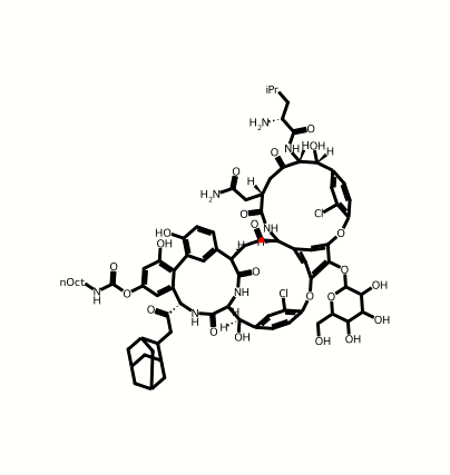 CCCCCCCCNC(=O)Oc1cc(O)c2c(c1)[C@@H](C(=O)CC1C3CC4CC(C3)CC1C4)NC(=O)[C@H]1NC(=O)[C@H](CC(=O)[C@@H]3NC(=O)[C@H](CC(N)=O)CC(=O)[C@H](NC(=O)[C@H](N)CC(C)C)[C@H](O)c4ccc(c(Cl)c4)Oc4cc3cc(c4OC3OC(CO)C(O)C(O)C3O)Oc3ccc(cc3Cl)[C@H]1O)c1ccc(O)c-2c1